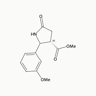 COC(=O)[C@H]1CC(=O)NC1c1cccc(OC)c1